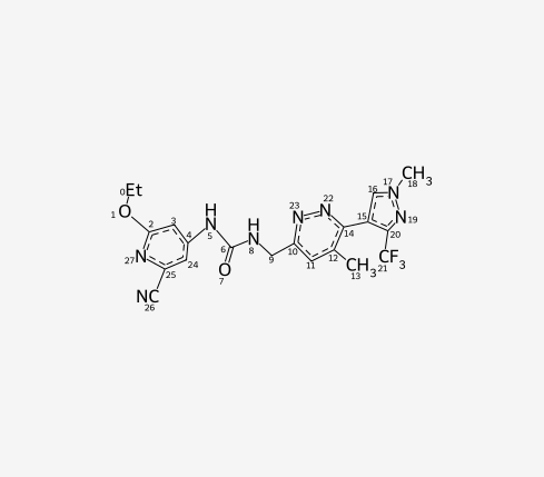 CCOc1cc(NC(=O)NCc2cc(C)c(-c3cn(C)nc3C(F)(F)F)nn2)cc(C#N)n1